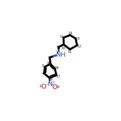 O=[N+]([O-])c1ccc(CNCC2CCCCC2)cc1